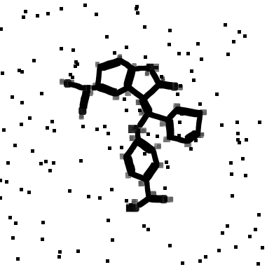 O=C1Nc2ccc([N+](=O)[O-])cc2C1=C(Nc1ccc(C(=O)O)cc1)c1ccccc1